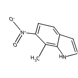 Cc1c([N+](=O)[O-])ccc2cc[nH]c12